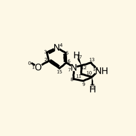 COc1cncc(N2CC[C@@H]3C[C@H]2CN3)c1